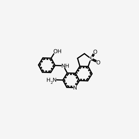 Nc1cnc2ccc3c(c2c1Nc1ccccc1O)CCS3(=O)=O